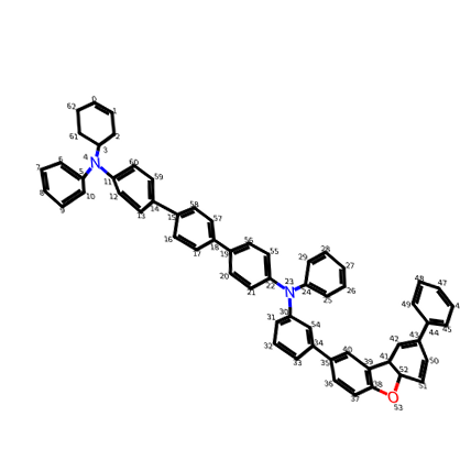 C1=CCC(N(c2ccccc2)c2ccc(-c3ccc(-c4ccc(N(c5ccccc5)c5cccc(-c6ccc7c(c6)C6C=C(c8ccccc8)C=CC6O7)c5)cc4)cc3)cc2)CC1